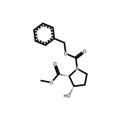 COC(=O)[C@H]1[C@@H](O)CCN1C(=O)OCc1ccccc1